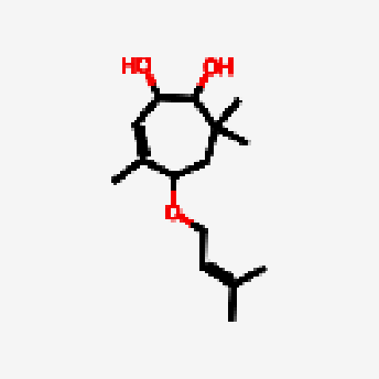 CC(C)=CCOC1CC(C)(C)C(O)C(O)C=C1C